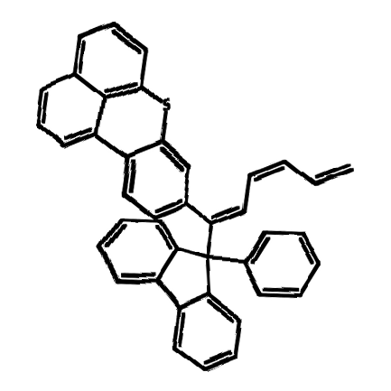 C=C/C=C\C=C(/c1ccc2c(c1)Sc1cccc3cccc-2c13)C1(c2ccccc2)c2ccccc2-c2ccccc21